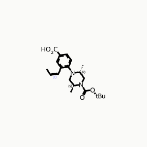 C/C=C\c1cc(C(=O)O)ccc1N1C[C@H](C)N(C(=O)OC(C)(C)C)C[C@H]1C